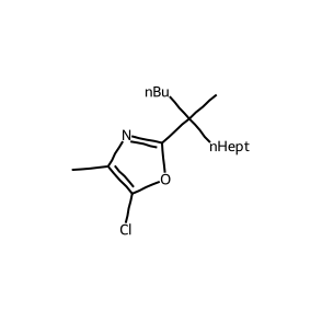 CCCCCCCC(C)(CCCC)c1nc(C)c(Cl)o1